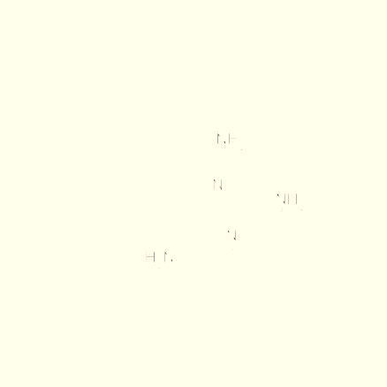 Nc1nc(N)n(N)c1-c1ccccc1